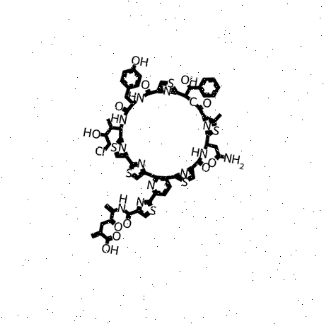 C=C(CC(=O)C(=C)NC(=O)c1csc(-c2ccc3c(n2)-c2csc(n2)-c2csc(n2)C(C(C)C(O)CCl)NC(=O)C(Cc2ccc(O)cc2)NC(=O)c2csc(n2)C(C(O)c2ccccc2)CC(=O)c2nc(sc2C)C(CC(N)=O)NC(=O)c2csc-3n2)n1)C(=O)O